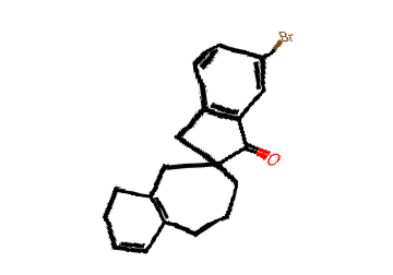 O=C1c2cc(Br)ccc2CC12CCCC1=C(CCC=C1)C2